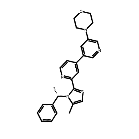 Cc1cnc(-c2cc(-c3cncc(N4CCOCC4)c3)ccn2)n1[C@@H](C)c1ccccc1